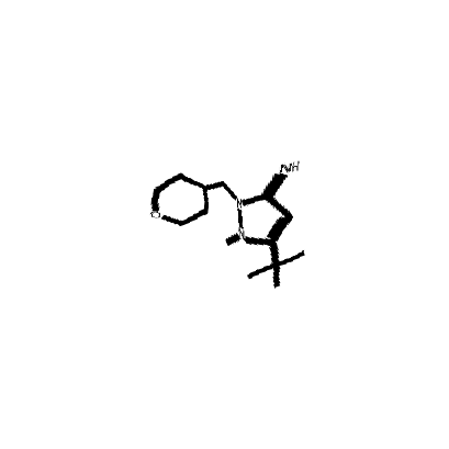 Cn1c(C(C)(C)C)cc(=N)n1CC1CCOCC1